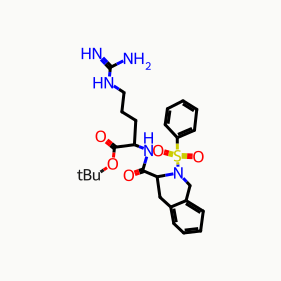 CC(C)(C)OC(=O)C(CCCNC(=N)N)NC(=O)C1Cc2ccccc2CN1S(=O)(=O)c1ccccc1